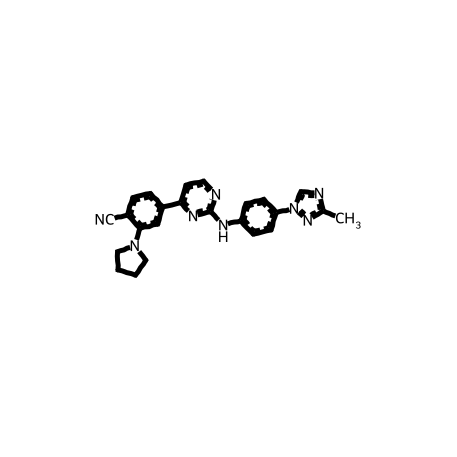 Cc1ncn(-c2ccc(Nc3nccc(-c4ccc(C#N)c(N5CCCC5)c4)n3)cc2)n1